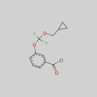 O=C(Cl)c1cccc(OC(F)(F)OCC2CC2)c1